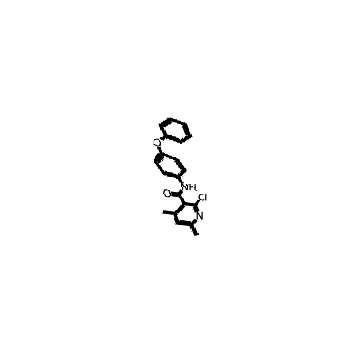 Cc1cc(C)c(C(=O)Nc2ccc(Oc3ccccc3)cc2)c(Cl)n1